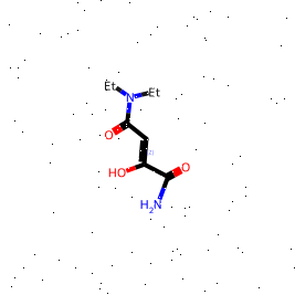 CCN(CC)C(=O)/C=C(\O)C(N)=O